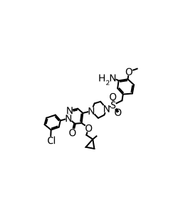 COc1ccc(CS(=O)(=O)N2CCN(c3cnn(-c4cccc(Cl)c4)c(=O)c3OCC3(C)CC3)CC2)cc1N